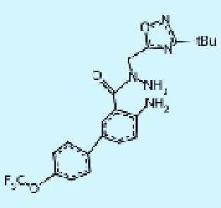 CC(C)(C)c1noc(CN(N)C(=O)c2cc(-c3ccc(OC(F)(F)F)cc3)ccc2N)n1